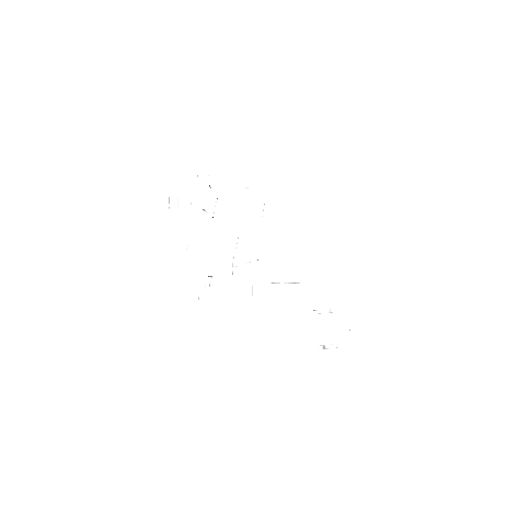 CC1(CCCc2ccccc2)C(=O)CC[C@@]2(C)C1CCC[C@@H]2O